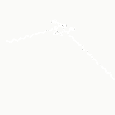 CCCCCCCCCCCCCCCCCCCCC(O)C(=O)N[C@@H](CO)[C@H](O)CCCCCCCCCCCCCCC